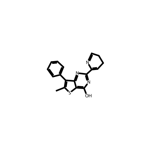 Cc1sc2c(O)nc(C3=CCCC=N3)nc2c1-c1ccccc1